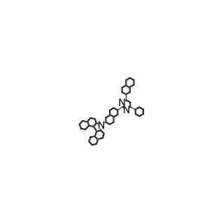 c1ccc(-c2cc(-c3ccc4ccccc4c3)nc(-c3ccc4cc(-n5c6ccc7ccccc7c6c6c7ccccc7ccc65)ccc4c3)n2)cc1